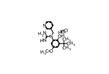 COc1cc(N(Cc2cccnc2)C(=N)N)c(O)c(C(C)(C)C)c1.Cl.Cl